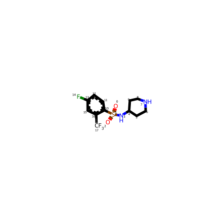 O=S(=O)(NC1CCNCC1)c1ccc(F)cc1C(F)(F)F